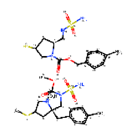 CC(=O)SC1CN(C(=O)O)[C@](Cc2ccc([N+](=O)[O-])cc2)(CN(C(=O)OC(C)(C)C)S(N)(=O)=O)C1.NS(=O)(=O)NC[C@@H]1C[C@H](S)CN1C(=O)OCc1ccc([N+](=O)[O-])cc1